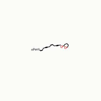 CCCCC/C=C\CC#CC/C=C\CC#CCOC1CCCCO1